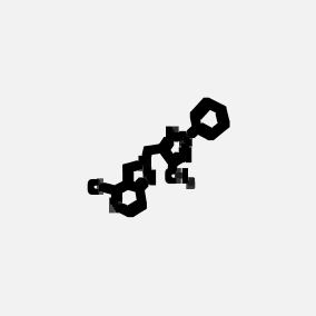 Cc1nn(-c2ccccc2)nc1Cn1cc2c(Cl)nccc2n1